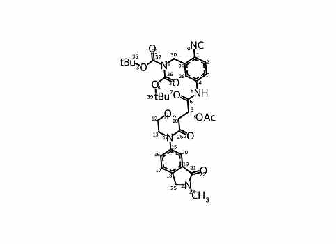 [C-]#[N+]c1ccc(NC(=O)[C@H](OC(C)=O)[C@H]2OCCN(c3ccc4c(c3)C(=O)N(C)C4)C2=O)cc1CN(C(=O)OC(C)(C)C)C(=O)OC(C)(C)C